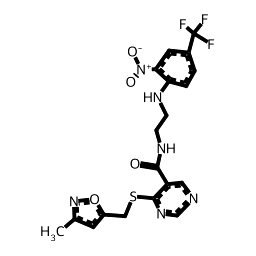 Cc1cc(CSc2ncncc2C(=O)NCCNc2ccc(C(F)(F)F)cc2[N+](=O)[O-])on1